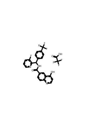 O=C(NC(c1ccc(C(F)(F)F)cc1)c1ncccc1F)c1ccc2nccc(O)c2c1.O=C(O)C(F)(F)F